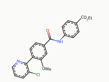 CCOC(=O)c1ccc(NC(=O)c2ccc(-c3ncccc3Cl)c(OC)c2)cc1